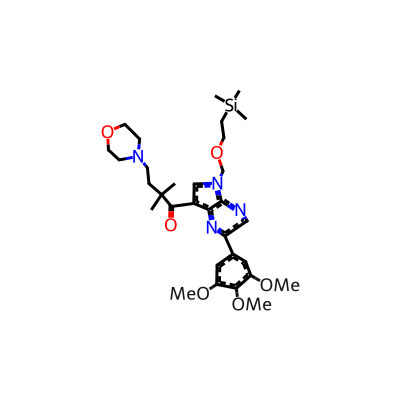 COc1cc(-c2cnc3c(n2)c(C(=O)C(C)(C)CCN2CCOCC2)cn3COCC[Si](C)(C)C)cc(OC)c1OC